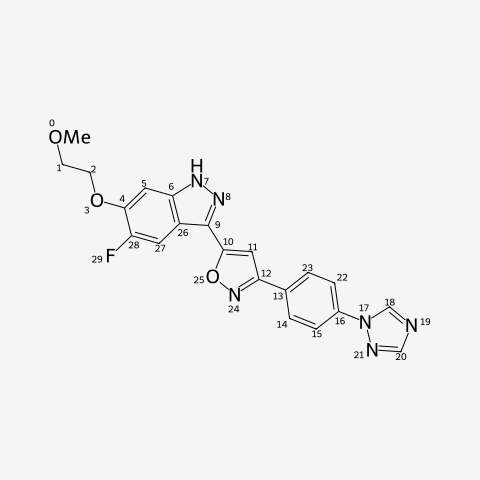 COCCOc1cc2[nH]nc(-c3cc(-c4ccc(-n5cncn5)cc4)no3)c2cc1F